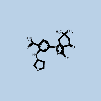 CCc1nn(-c2ccc(C(N)=O)c(N[C@H]3CCOC3)c2)c2c1C(=O)CC(C)(C)C2